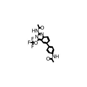 CC(=O)Nc1ccc(-c2ccc3nc(NC(C)=O)nc(OC(F)(F)F)c3c2)cc1